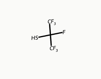 FC(F)(F)C(F)(S)C(F)(F)F